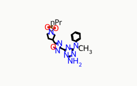 CCCS(=O)(=O)N1CCC(c2nc(-c3nc(N)nc(N(C)c4ccccc4)n3)no2)C1